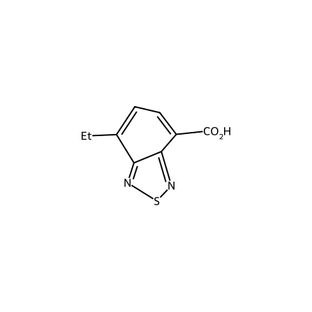 CCc1ccc(C(=O)O)c2nsnc12